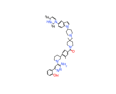 [2H]C1C=CN(c2ccc3c(ccn3C3CCN(CC4(C)CCN(C(=O)c5ccc(C6CCCN(c7cc(-c8ccccc8O)nnc7N)C6)c(C)c5)CC4)CC3)c2)[C@H]([2H])N1